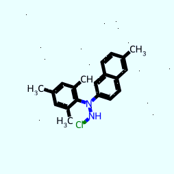 Cc1cc(C)c(N(NCl)c2ccc3cc(C)ccc3c2)c(C)c1